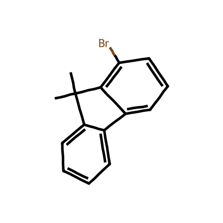 CC1(C)c2ccccc2-c2cccc(Br)c21